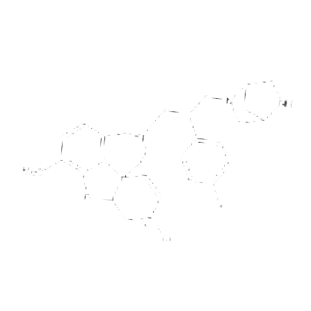 COc1ccc2c3c1OC1C[C@@H](O)C=CC31CCN(CC(CN1CC3CC1CN3)c1ccc(F)cc1)C2